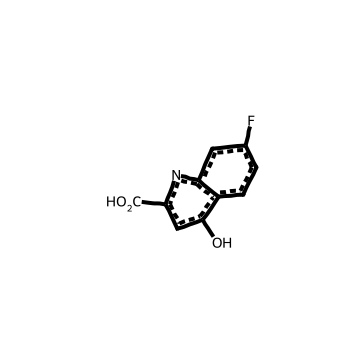 O=C(O)c1cc(O)c2ccc(F)cc2n1